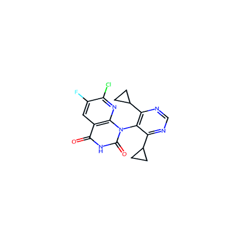 O=c1[nH]c(=O)n(-c2c(C3CC3)ncnc2C2CC2)c2nc(Cl)c(F)cc12